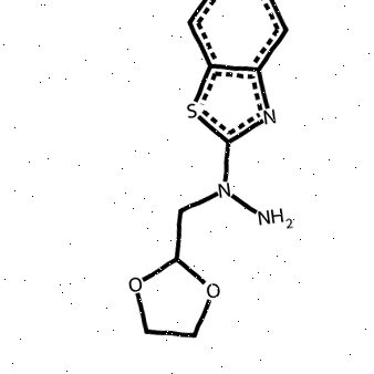 NN(CC1OCCO1)c1nc2ccccc2s1